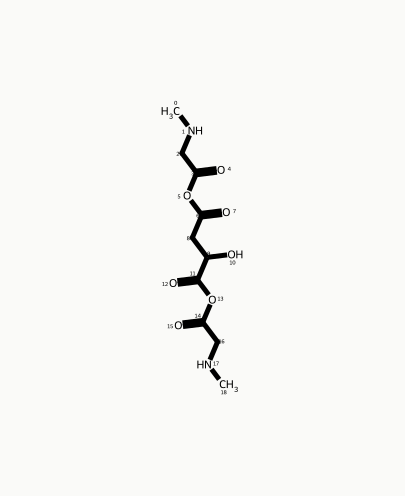 CNCC(=O)OC(=O)CC(O)C(=O)OC(=O)CNC